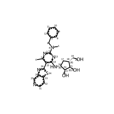 Cc1nc(N(C)Cc2ccccc2)nc(N[C@@H]2C[C@H](CO)[C@@H](O)[C@H]2O)c1-c1nc2cnccc2s1